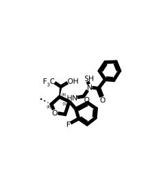 C[C@H]1OC[C@@](NC(=O)N(S)C(=O)c2ccccc2)(c2ccccc2F)[C@@H]1C(O)C(F)(F)F